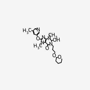 Cc1cncc(Oc2nc3c(n2C)C(=O)N(CCCOC2CCCCO2)C(O)N3C)c1